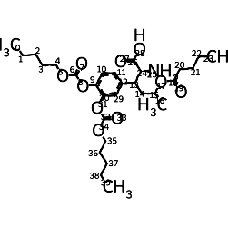 CCCCCOC(=O)Oc1ccc(C(CC(C)OC(=O)CCCC)[C@H](N)C(=O)O)cc1OC(=O)OCCCCC